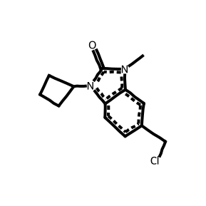 Cn1c(=O)n(C2CCC2)c2ccc(CCl)cc21